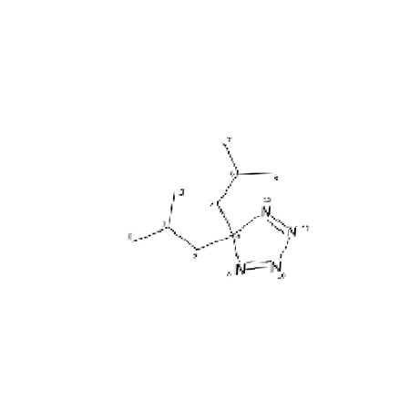 CC(C)CC1(CC(C)C)N=NN=N1